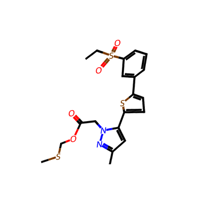 CCS(=O)(=O)c1cccc(-c2ccc(-c3cc(C)nn3CC(=O)OCSC)s2)c1